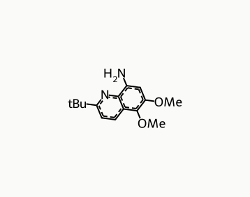 COc1cc(N)c2nc(C(C)(C)C)ccc2c1OC